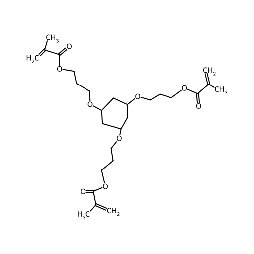 C=C(C)C(=O)OCCCOC1CC(OCCCOC(=O)C(=C)C)CC(OCCCOC(=O)C(=C)C)C1